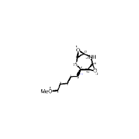 COCCCC/C=C1\SC2OC2NC2OC12